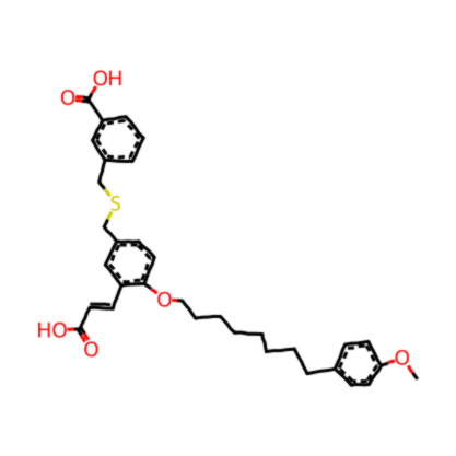 COc1ccc(CCCCCCCCOc2ccc(CSCc3cccc(C(=O)O)c3)cc2/C=C/C(=O)O)cc1